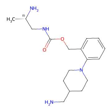 C[C@H](N)CNC(=O)OCc1ccccc1N1CCC(CN)CC1